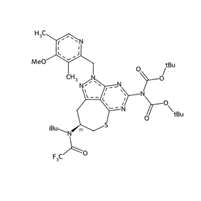 CCC(C)N(C(=O)C(F)(F)F)[C@@H]1CSc2nc(N(C(=O)OC(C)(C)C)C(=O)OC(C)(C)C)nc3c2c(nn3Cc2ncc(C)c(OC)c2C)C1